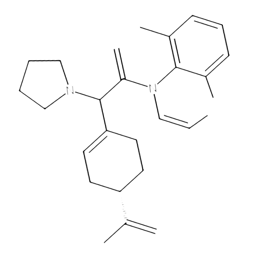 C=C(C)[C@@H]1CC=C(C(C(=C)N(/C=C\C)c2c(C)cccc2C)N2CCCC2)CC1